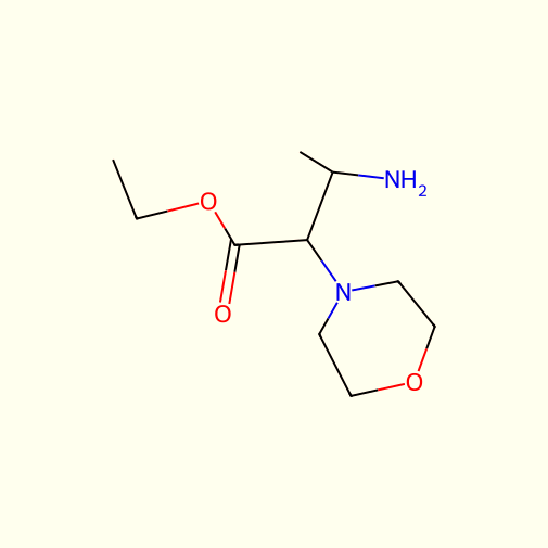 CCOC(=O)C(C(C)N)N1CCOCC1